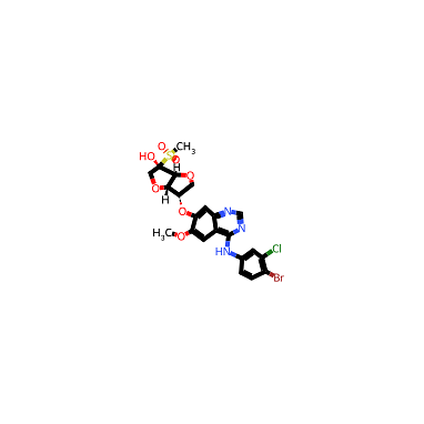 COc1cc2c(Nc3ccc(Br)c(Cl)c3)ncnc2cc1O[C@H]1CO[C@H]2[C@H]1OC[C@]2(O)S(C)(=O)=O